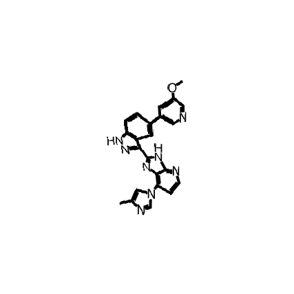 COc1cncc(-c2ccc3[nH]nc(-c4nc5c(-n6cnc(C)c6)ccnc5[nH]4)c3c2)c1